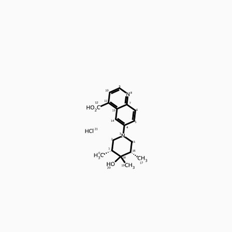 C[C@@H]1CN(c2ccc3nccc(C(=O)O)c3c2)C[C@H](C)C1(C)O.Cl